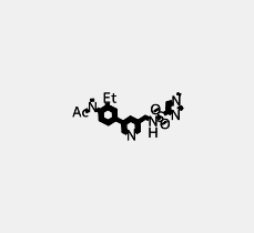 CCc1cc(-c2cncc(CNS(=O)(=O)c3cn(C)cn3)c2)ccc1N(C)C(C)=O